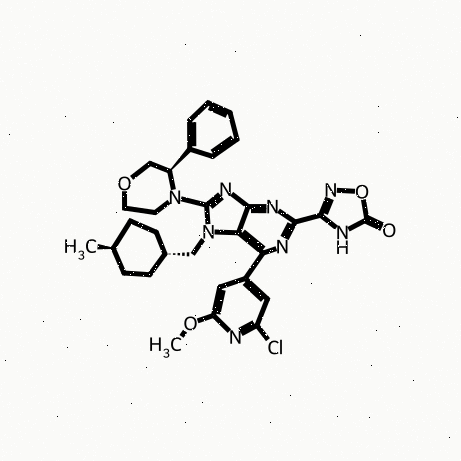 COc1cc(-c2nc(-c3noc(=O)[nH]3)nc3nc(N4CCOC[C@H]4c4ccccc4)n(C[C@H]4CC[C@H](C)CC4)c23)cc(Cl)n1